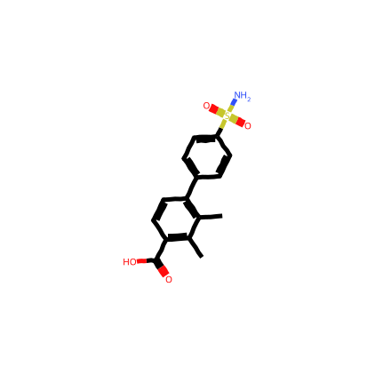 Cc1c(C(=O)O)ccc(-c2ccc(S(N)(=O)=O)cc2)c1C